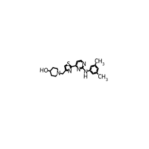 Cc1cc(C)cc(Nc2nccc(-c3nc(CN4CCC(O)CC4)cs3)n2)c1